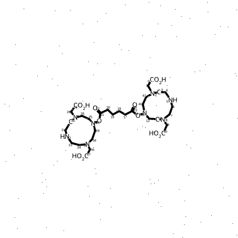 O=C(O)CN1CCNCCN(CC(=O)O)CCN(OC(=O)CCCCC(=O)ON2CCN(CC(=O)O)CCNCCN(CC(=O)O)CC2)CC1